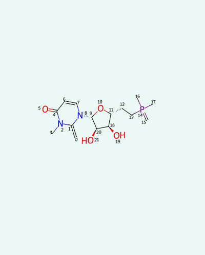 C=C1N(C)C(=O)C=CN1[C@@H]1O[C@H](CCP(=C)(C)C)[C@@H](O)[C@H]1O